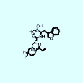 C=CC(=O)N1CCC(F)(F)C[C@@H]1COC(=O)NC(Cc1coc2ccccc12)B(O)O